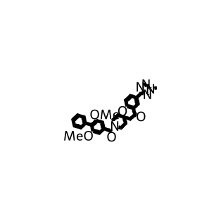 COc1cc(C(=O)N2CCC3(CC2)CC(=O)c2cc(-c4nnn(C)n4)ccc2O3)cc(OC)c1-c1ccccc1